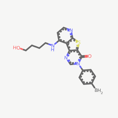 Bc1ccc(-n2cnc3c(sc4nccc(NCCCCO)c43)c2=O)cc1